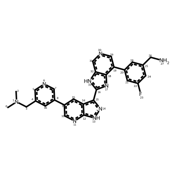 CN(C)Cc1cncc(-c2cnc3[nH]nc(-c4nc5c(-c6cc(F)cc(CN)c6)cncc5[nH]4)c3c2)c1